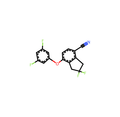 N#Cc1ccc(Oc2cc(F)cc(F)c2)c2c1CC(F)(F)C2